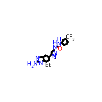 CCc1cc(-c2cc(NC(=O)Nc3cccc(C(F)(F)F)c3)nn2C)cc2cnc(N)nc12